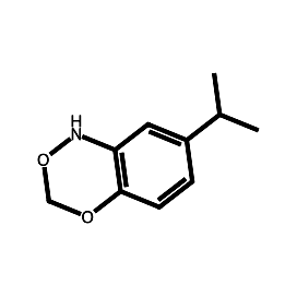 CC(C)c1ccc2c(c1)NOCO2